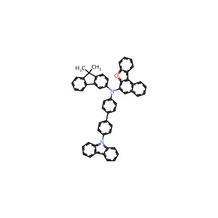 CC1(C)c2ccccc2-c2cc(N(c3ccc(-c4ccc(-n5c6ccccc6c6ccccc65)cc4)cc3)c3cc4ccccc4c4c3oc3ccccc34)ccc21